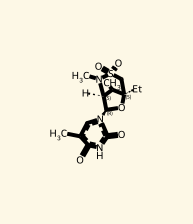 CC[C@@]12CS(=O)(=O)N(C)[C@@H](C1C)[C@H](n1cc(C)c(=O)[nH]c1=O)O2